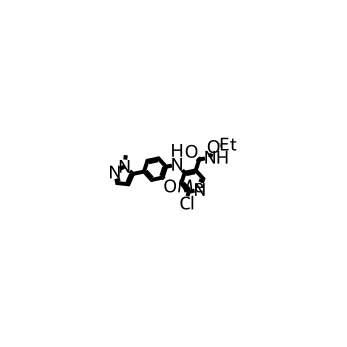 CCONC(=O)c1cnc(Cl)cc1Nc1ccc(-c2ccnn2C)cc1OC